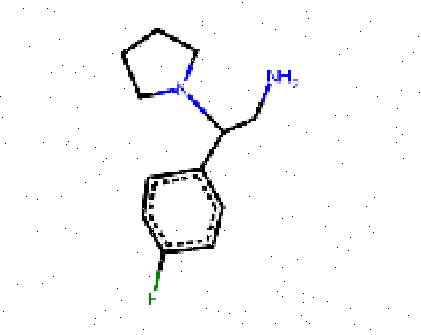 NCC(c1ccc(F)cc1)N1CCCC1